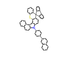 c1ccc2c(c1)Sc1c(ccc3c1c1c4ccccc4ccc1n3-c1ccc(-c3ccc4ccccc4c3)cc1)C21c2ccccc2-c2ccccc21